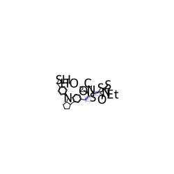 CCN1C(=O)/C(=c2\s/c(=C/c3ccc4c(c3)C3CCCC3N4c3ccc(CS)cc3)c(=O)n2CC(=O)O)SC1=S